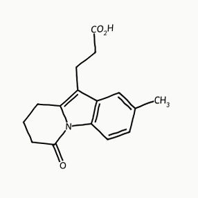 Cc1ccc2c(c1)c(CCC(=O)O)c1n2C(=O)CCC1